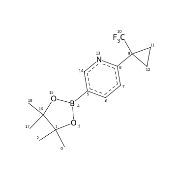 CC1(C)OB(c2ccc(C3(C(F)(F)F)CC3)nc2)OC1(C)C